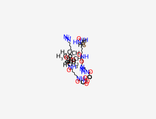 COc1cc(C(C)(C)CCCCCCN=[N+]=[N-])cc(OC)c1[C@H]1C=C(CNC(=O)CCCCCCNC(=O)c2ccc(=O)n(S(=O)(=O)c3cccc(C(=O)NCc4cn(CCOCCNC(=O)CCCC[C@@H]5SC[C@@H]6NC(=O)N[C@@H]65)nn4)c3)c2)[C@H]2C[C@@H]1C2(C)C